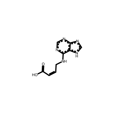 O=C(O)/C=C\CNc1ncnc2nc[nH]c12